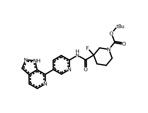 CC(C)(C)OC(=O)N1CCCC(F)(C(=O)Nc2ccc(-c3nccc4cn[nH]c34)cn2)C1